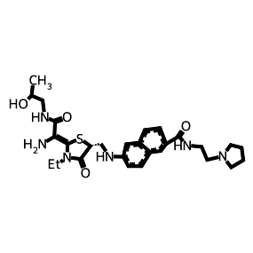 CCN1C(=O)[C@@H](CNc2ccc3cc(C(=O)NCCN4CCCC4)ccc3c2)S/C1=C(/N)C(=O)NCC(C)O